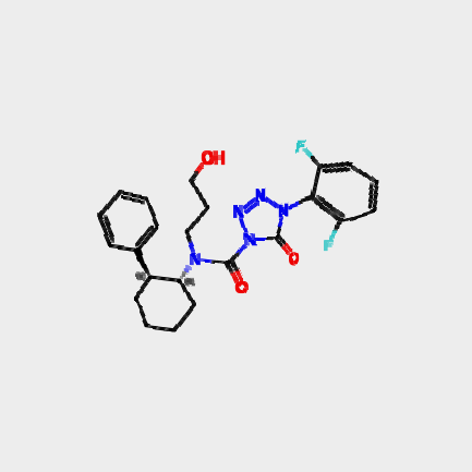 O=C(N(CCCO)[C@@H]1CCCC[C@H]1c1ccccc1)n1nnn(-c2c(F)cccc2F)c1=O